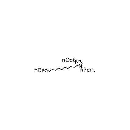 CCCCCCCCCCCCCCCCCCCC1N(CCCCC)C=CN1CCCCCCCC